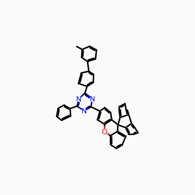 Cc1cccc(-c2ccc(-c3nc(-c4ccccc4)nc(-c4ccc5c(c4)Oc4ccccc4C54c5ccccc5-c5ccccc54)n3)cc2)c1